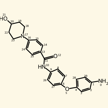 Nc1ccc(Oc2ccc(NC(=O)c3ccc(N4CCC(O)CC4)cc3)cc2)cc1